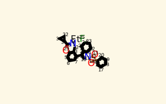 CCN(Cc1ccccc1-c1cn(S(=O)(=O)c2ccccc2)c2ccc(F)cc12)C(=O)C1CC1